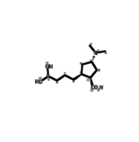 CN(C)[C@H]1C[C@H](CCCB(O)O)[C@H](C(=O)O)C1